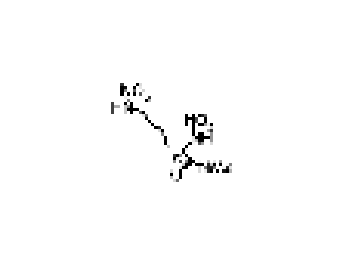 CNC(=O)[C@H](CCCCN[N+](=O)[O-])N[N+](=O)[O-]